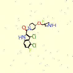 O=C(c1[nH]c2ccc(F)c(Cl)c2c1Cl)N1CCC(OCC2(F)CNC2)CC1